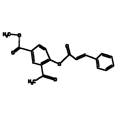 COC(=O)c1ccc(OC(=O)C=Cc2ccccc2)c(C(C)=O)c1